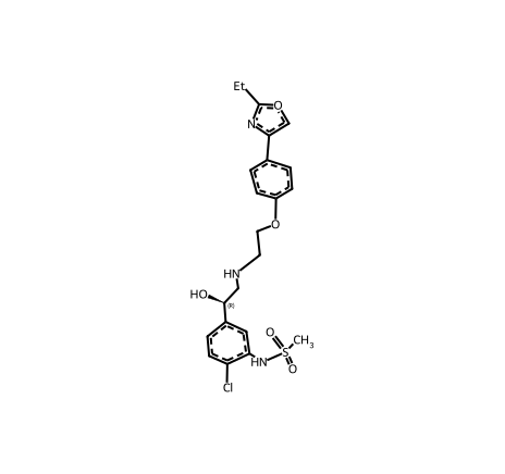 CCc1nc(-c2ccc(OCCNC[C@H](O)c3ccc(Cl)c(NS(C)(=O)=O)c3)cc2)co1